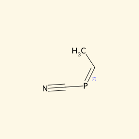 C/C=P\C#N